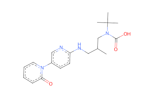 CC(CNc1ccc(-n2ccccc2=O)cn1)CN(C(=O)O)C(C)(C)C